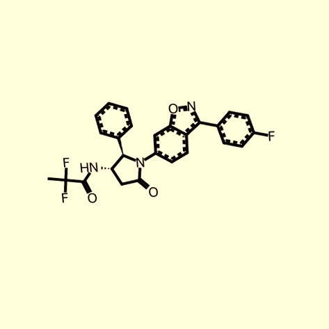 CC(F)(F)C(=O)N[C@H]1CC(=O)N(c2ccc3c(-c4ccc(F)cc4)noc3c2)[C@@H]1c1ccccc1